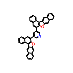 c1ccc2cc3c(cc2c1)oc1c(-c2cncc(-c4cc5ccccc5c5c4oc4cc6ccccc6cc45)c2)cc2ccccc2c13